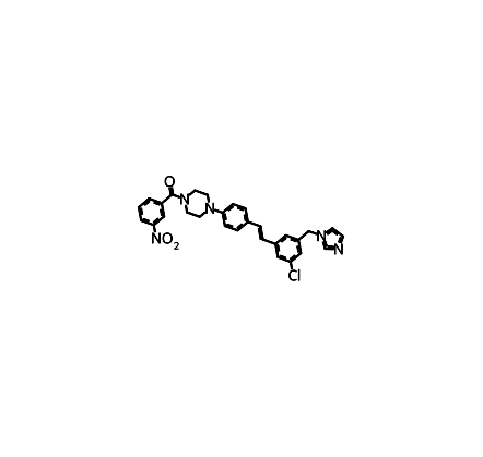 O=C(c1cccc([N+](=O)[O-])c1)N1CCN(c2ccc(C=Cc3cc(Cl)cc(Cn4ccnc4)c3)cc2)CC1